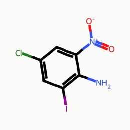 Nc1c(I)cc(Cl)cc1[N+](=O)[O-]